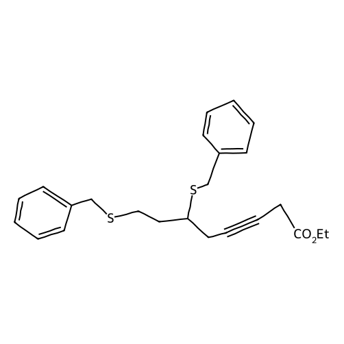 CCOC(=O)CC#CCC(CCSCc1ccccc1)SCc1ccccc1